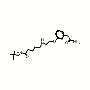 CC(C)(C)CNC(=O)CCCCNCCOc1cccc(NC(N)=O)c1